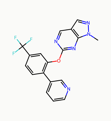 Cn1ncc2cnc(Oc3cc(C(F)(F)F)ccc3-c3cccnc3)nc21